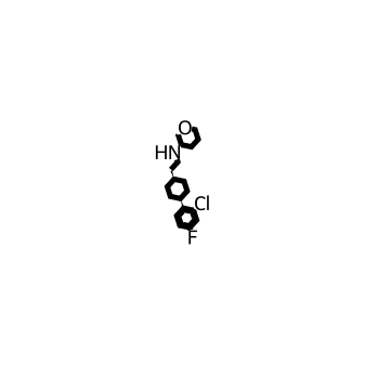 Fc1ccc([C@H]2CC[C@@H](CCNC3CCCOC3)CC2)c(Cl)c1